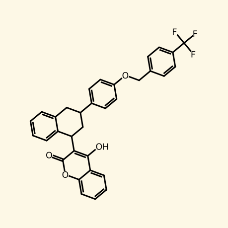 O=c1oc2ccccc2c(O)c1C1CC(c2ccc(OCc3ccc(C(F)(F)F)cc3)cc2)Cc2ccccc21